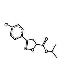 CC(C)OC(=O)C1CC(c2ccc(Cl)cc2)=NO1